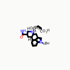 CCCCn1cc2c3c(cccc31)[C@H]1CC(C(N)=O)CN(C)[C@@H]1C2.O=C(O)/C=C\C(=O)O